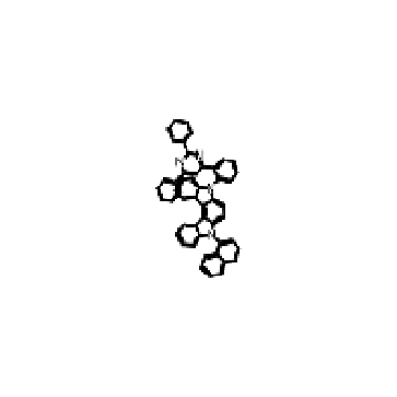 c1ccc(-c2cc(-c3ccccc3-n3c4ccccc4c4c5c6ccccc6n(-c6cccc7ccccc67)c5ccc43)nc(-c3ccccc3)n2)cc1